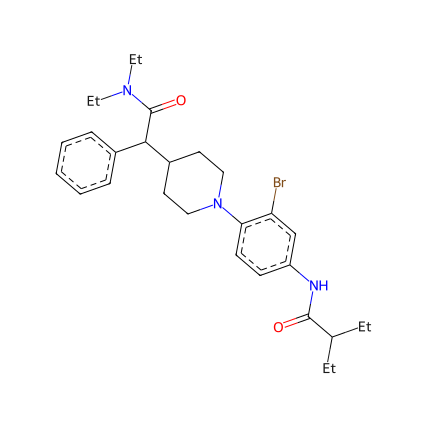 CCC(CC)C(=O)Nc1ccc(N2CCC(C(C(=O)N(CC)CC)c3ccccc3)CC2)c(Br)c1